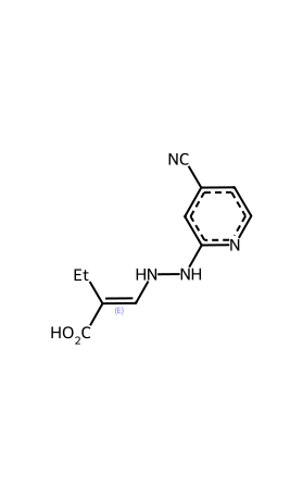 CC/C(=C\NNc1cc(C#N)ccn1)C(=O)O